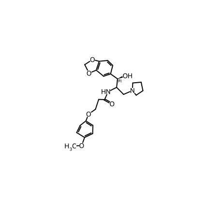 COc1ccc(OCCC(=O)NC(CN2CCCC2)[C@H](O)c2ccc3c(c2)OCO3)cc1